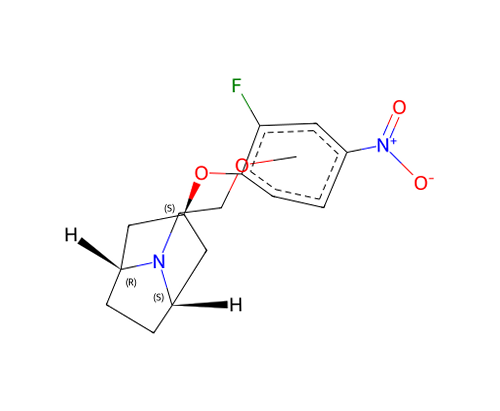 COCCN1[C@@H]2CC[C@H]1C[C@H](Oc1ccc([N+](=O)[O-])cc1F)C2